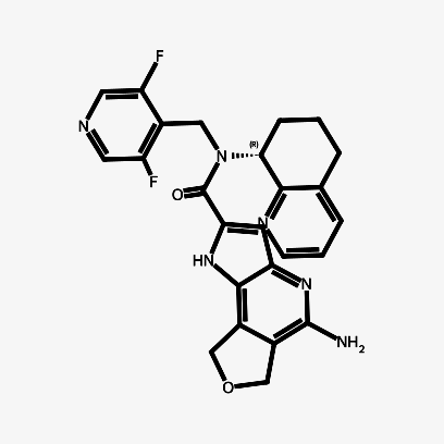 Nc1nc2cc(C(=O)N(Cc3c(F)cncc3F)[C@@H]3CCCc4cccnc43)[nH]c2c2c1COC2